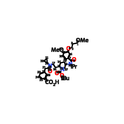 COCCCOc1cc(C(=O)N(C(C)C)[C@@H]2CC[C@H](CCN(C(=O)Cc3cccc(C(=O)O)c3)C3CC3)N(C(=O)OC(C)(C)C)C2)ccc1OC